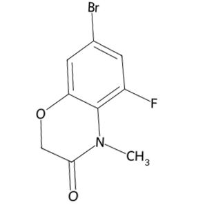 CN1C(=O)COc2cc(Br)cc(F)c21